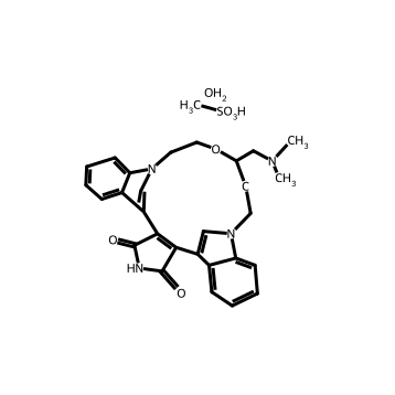 CN(C)CC1CCn2cc(c3ccccc32)C2=C(C(=O)NC2=O)c2cn(c3ccccc23)CCO1.CS(=O)(=O)O.O